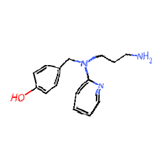 NCCCN(Cc1ccc(O)cc1)c1ccccn1